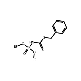 CCOP(=O)(NC(=S)SCc1ccccc1)OCC